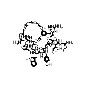 CC[C@H](C)[C@H](NC(=O)[C@H](CCCNC(=N)N)NC(=O)CNC(=O)[C@H](Cc1ccc(O)cc1)NC(=O)[C@H](Cc1c[nH]c2ccccc12)NC(=O)[C@H](Cc1c[nH]cn1)NC(=O)[C@@H]1CSCc2cc(CSC)cc(c2)OCCCCCCO/N=C/C(=O)N[C@@H](CC(N)=O)C(=O)N1)C(=O)NCC(N)=O